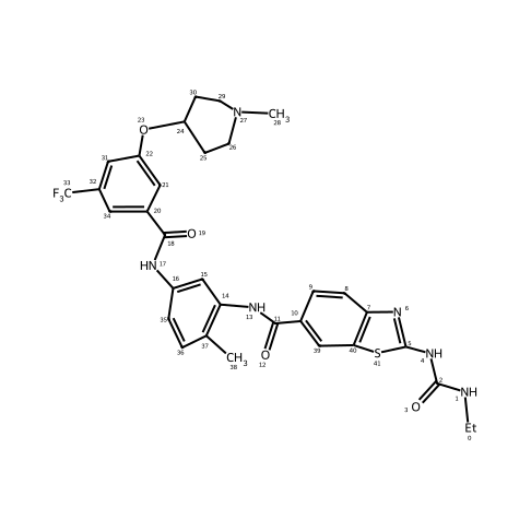 CCNC(=O)Nc1nc2ccc(C(=O)Nc3cc(NC(=O)c4cc(OC5CCN(C)CC5)cc(C(F)(F)F)c4)ccc3C)cc2s1